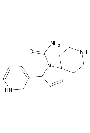 NC(=O)N1C(C2=CC=CNC2)C=CC12CCNCC2